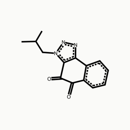 CC(C)Cn1nnc2c1C(=O)C(=O)c1ccccc1-2